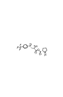 O=C(CC(S)C(=O)OC(=O)[C@@H]1CCCN1)c1ccc(C(F)(F)F)cc1